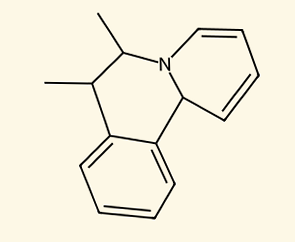 CC1c2ccccc2C2C=CC=CN2C1C